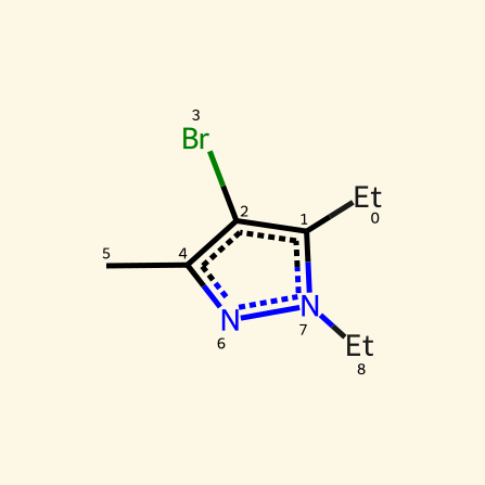 CCc1c(Br)c(C)nn1CC